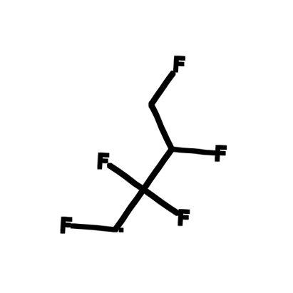 F[CH]C(F)(F)C(F)CF